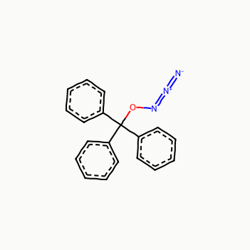 [N-]=[N+]=NOC(c1ccccc1)(c1ccccc1)c1ccccc1